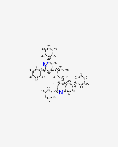 c1ccc(-c2ccc3nc(-c4ccccc4)cc(-c4cccc(-c5cc(-c6ccccc6)nc(-c6ccccc6)c5)c4)c3c2)cc1